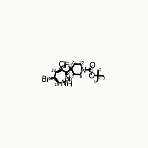 CC(C)(C)OC(=O)N1CCC(F)(C2=NNC=C(Br)C=C2Cl)CC1